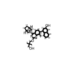 CC(C)(CO)COc1nc(N2C[C@H]3CC[C@@H](C2)N3)c2ccc(-c3cc(O)cc4ccccc34)c(F)c2n1